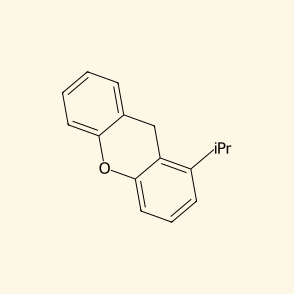 CC(C)c1cccc2c1Cc1ccccc1O2